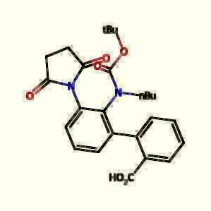 CCCCN(C(=O)OC(C)(C)C)c1c(-c2ccccc2C(=O)O)cccc1N1C(=O)CCC1=O